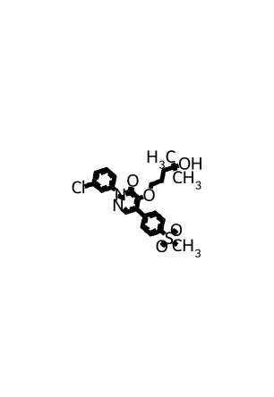 CC(C)(O)CCCOc1c(-c2ccc(S(C)(=O)=O)cc2)cnn(-c2cccc(Cl)c2)c1=O